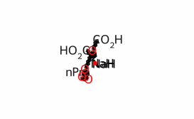 CCCc1c(OCCCCCCc2cccc(OCCCCCC(=O)O)c2CCC(=O)O)ccc2c1OCCC2=O.[NaH].[NaH]